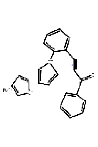 O=C(/C=C/c1ccccc1-[c-]1cccc1)c1ccccc1.[Fe+2].c1cc[cH-]c1